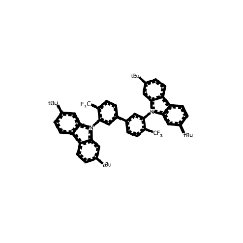 CC(C)(C)c1ccc2c3ccc(C(C)(C)C)cc3n(-c3cc(-c4ccc(C(F)(F)F)c(-n5c6cc(C(C)(C)C)ccc6c6ccc(C(C)(C)C)cc65)c4)ccc3C(F)(F)F)c2c1